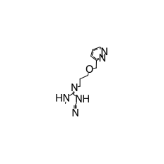 CN/C(=N/CCCOCc1cccnn1)NC#N